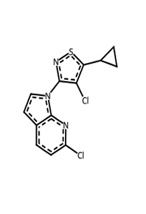 Clc1ccc2ccn(-c3nsc(C4CC4)c3Cl)c2n1